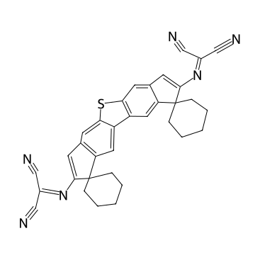 N#CC(C#N)=NC1=Cc2cc3sc4cc5c(cc4c3cc2C12CCCCC2)C1(CCCCC1)C(N=C(C#N)C#N)=C5